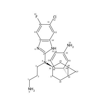 NCCCN(c1nc2cc(F)c(Cl)cc2[nH]1)[C@@H]1CC[C@]2(C3C=C(N)C=CC3)CC2C1